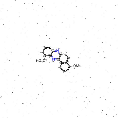 COc1cccc2c1ccc1nc3cccc(C(=O)O)c3nc12